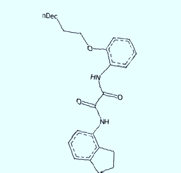 CCCCCCCCCCCCOc1ccccc1NC(=O)C(=O)Nc1cccc2c1CCC2